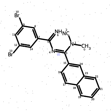 CN(C#N)/C(=N\C(=N)c1cc(Br)cc(Br)c1)c1ccc2ccccc2c1